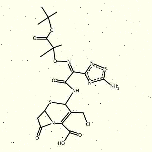 CC(C)(C)OC(=O)C(C)(C)O/N=C(\C(=O)NC1SC2CC(=O)N2C(C(=O)O)=C1CCl)c1nsc(N)n1